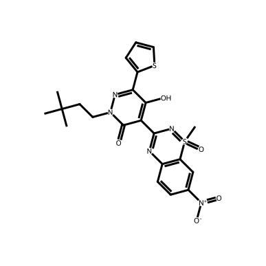 CC(C)(C)CCn1nc(-c2cccs2)c(O)c(C2=Nc3ccc([N+](=O)[O-])cc3S(C)(=O)=N2)c1=O